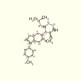 Cc1ccc(-n2ncc3cc(C4C(=O)NCCN4CC(C)C)c(C)cc32)cc1